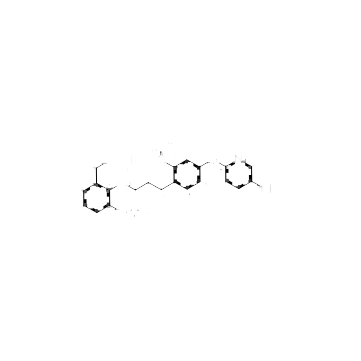 COc1cccc(CC(=O)O)c1OCCCc1ccc(Oc2ccc(C(F)(F)F)cn2)cc1OC(C)C